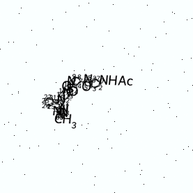 CC(=O)Nc1ccc2oc(-c3ccnc(S(=O)(=O)N4CCN(C(c5ccccc5)c5nnn(C)n5)CC4)c3)nc2c1